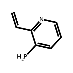 C=Cc1ncccc1P